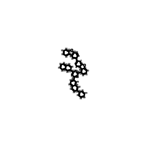 c1c(-c2ccc3c(c2)oc2cccc(-c4nc(-c5ccc6ccccc6c5)nc(-c5ccc6ccc(-c7ccccc7)cc6c5)n4)c23)cc2c(c#1)oc1ccccc12